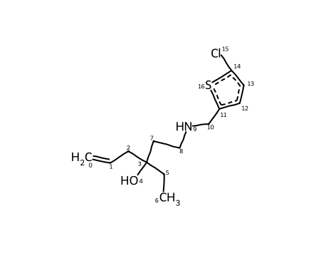 C=CCC(O)(CC)CCNCc1ccc(Cl)s1